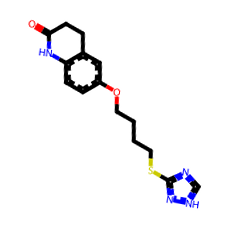 O=C1CCc2cc(OCCCCSc3nc[nH]n3)ccc2N1